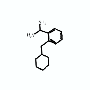 NC(N)c1ccccc1CC1CCCCC1